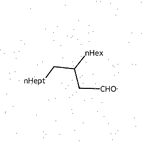 CCCCCCCCC(C[C]=O)CCCCCC